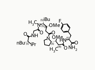 CCCC[C@H](C(=O)NCC(=O)N(C)[C@@H]([C@@H](C)CC)[C@@H](CC(=O)N1CCC[C@H]1C(OC)[C@@H](C)C(=O)N[C@@H](Cc1ccc(F)cc1)C(N)=O)OC)C(C)C